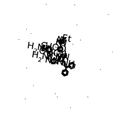 CCn1nnc([C@H]2O[C@@H](n3cnc4c(NCC(c5ccccc5)c5ccccc5)nc(N5CC[C@@H](N=C(N)N(C#N)c6cccc(S(N)(=O)=O)c6)C5)nc43)[C@H](O)[C@@H]2O)n1